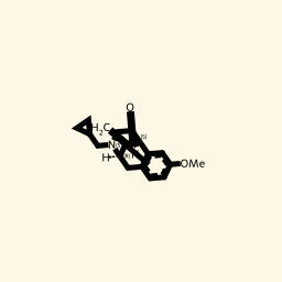 C=C1C(=O)C[C@]23CCN(CC4CC4)[C@H](Cc4ccc(OC)cc42)[C@H]13